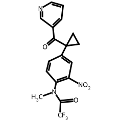 CN(C(=O)C(F)(F)F)c1ccc(C2(C(=O)c3cccnc3)CC2)cc1[N+](=O)[O-]